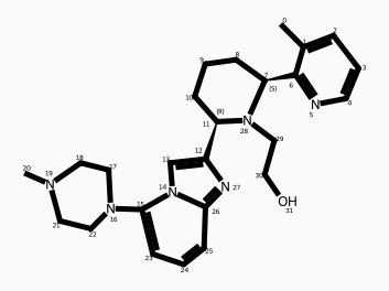 Cc1cccnc1[C@@H]1CCC[C@H](c2cn3c(N4CCN(C)CC4)cccc3n2)N1CCO